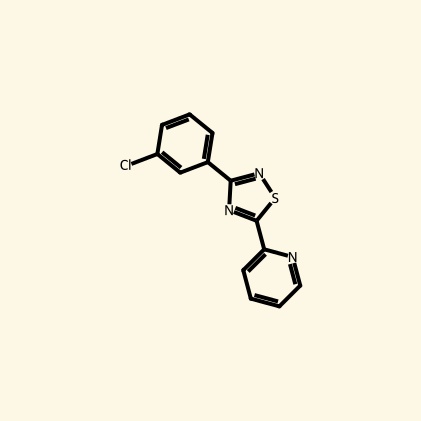 Clc1cccc(-c2nsc(-c3ccccn3)n2)c1